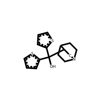 OC(c1cccs1)(c1cccs1)C1CN2CCC1CC2